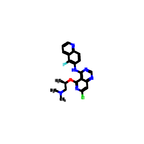 C[C@H](CN(C)C)Oc1nc(Cl)cc2ncnc(Nc3ccc4ncccc4c3F)c12